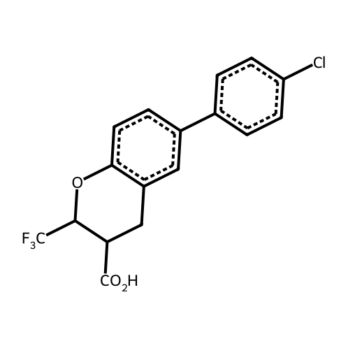 O=C(O)C1Cc2cc(-c3ccc(Cl)cc3)ccc2OC1C(F)(F)F